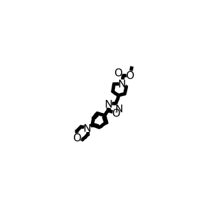 COC(=O)N1CCC(c2noc(-c3ccc(N4CCOCC4)cc3)n2)CC1